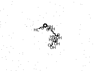 C#CCOc1cccc(NC(=O)NCCCCC(NC(=O)N[C@@H](CCC(=O)O)C(=O)O)C(=O)O)c1